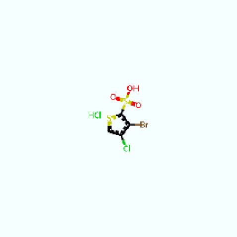 Cl.O=S(=O)(O)c1scc(Cl)c1Br